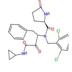 O=C1CC[C@H](C(=O)N(Cc2c(Cl)cccc2Cl)C(Cc2ccccc2)C(=O)C(=O)NC2CC2)N1